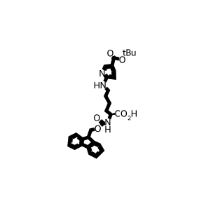 CC(C)(C)OC(=O)c1ccc(NCCCC[C@H](NC(=O)OCC2c3ccccc3-c3ccccc32)C(=O)O)nc1